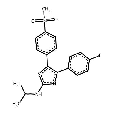 CC(C)Nc1nc(-c2ccc(F)cc2)c(-c2ccc(S(C)(=O)=O)cc2)s1